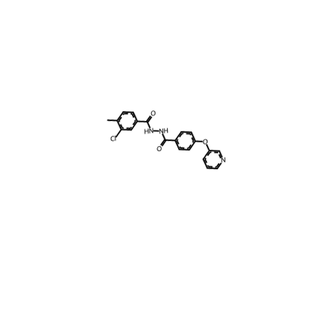 Cc1ccc(C(=O)NNC(=O)c2ccc(Oc3cccnc3)cc2)cc1Cl